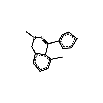 Cc1cccc2c1C(c1ccccc1)=NN(C)C2